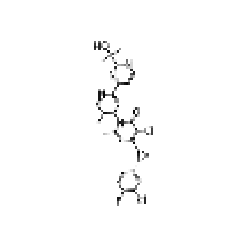 Cc1cnc(-c2ccnc(C(C)(C)O)n2)cc1-n1c(C)cc([C@H]2C[C@@H]2c2ccc(F)c(Cl)c2)c(Cl)c1=O